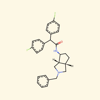 O=C(N[C@H]1CC[C@@H]2CN(Cc3ccccc3)C[C@@H]21)C(c1ccc(F)cc1)c1ccc(F)cc1